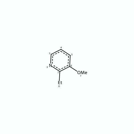 CCc1ncccc1OC